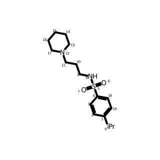 CC(C)c1ccc(S(=O)(=O)NCCCN2CCCCC2)cc1